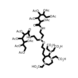 CC(=O)OCC(OC(C)=O)C(OC(C)=O)C(OC(C)=O)C(OC(C)=O)C(=O)NCCN(CCNC(=O)C(OC(C)=O)C(OC(C)=O)C(OC(C)=O)C(COC(C)=O)OC(C)=O)OCCCC1CN(CC(=O)O)CCN(CC(=O)O)C1N(CC(=O)O)CC(=O)O